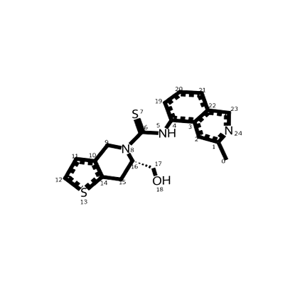 Cc1cc2c(NC(=S)N3Cc4ccsc4C[C@H]3CO)cccc2cn1